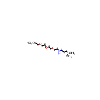 C[SiH](C)CCCNCCOCCOCCOCCC(=O)O